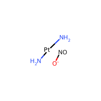 O=[NH+][O-].[NH2][Pt][NH2]